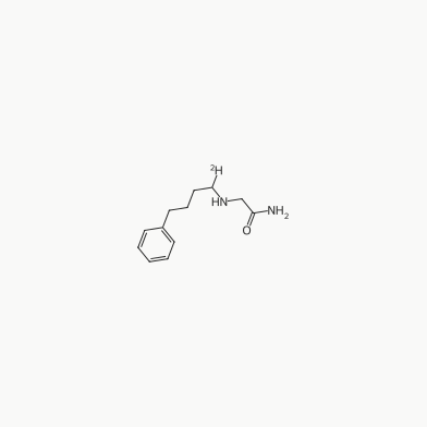 [2H]C(CCCc1ccccc1)NCC(N)=O